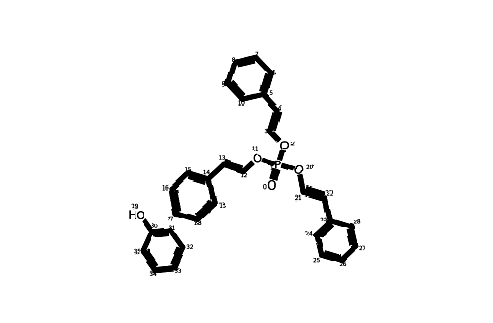 O=P(O/C=C/c1ccccc1)(O/C=C/c1ccccc1)O/C=C/c1ccccc1.Oc1ccccc1